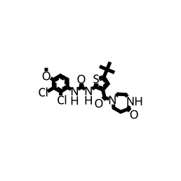 COc1ccc(NC(=O)Nc2sc(C(C)(C)C)cc2C(=O)N2CCNC(=O)CC2)c(Cl)c1Cl